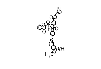 COc1cc2c(cc1OC)CN(CCc1ccc(NC(=O)c3ccc(C(=O)OCc4cccnc4)cc3NC(=O)c3cc(=O)c4ccccc4o3)cc1)CC2